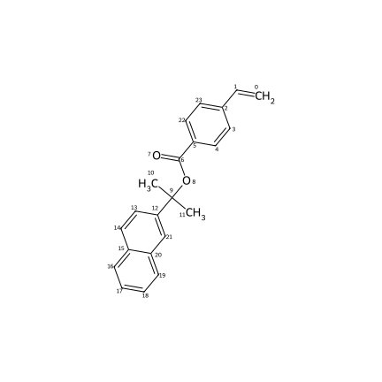 C=Cc1ccc(C(=O)OC(C)(C)c2ccc3ccccc3c2)cc1